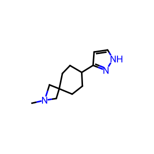 CN1CC2(CCC(c3cc[nH]n3)CC2)C1